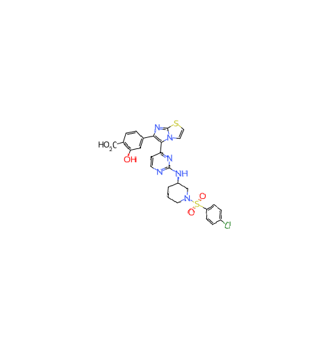 O=C(O)c1ccc(-c2nc3sccn3c2-c2ccnc(N[C@@H]3CCCN(S(=O)(=O)c4ccc(Cl)cc4)C3)n2)cc1O